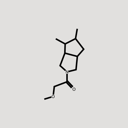 COCC(=O)N1CC2CC(C)C(C)C2C1